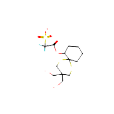 O=C(OC1CCCCC12SCC(CO)(CO)CS2)C(F)(F)S(=O)(=O)O